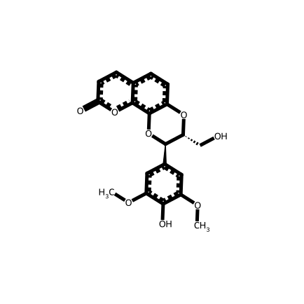 COc1cc([C@H]2Oc3c(ccc4ccc(=O)oc34)O[C@@H]2CO)cc(OC)c1O